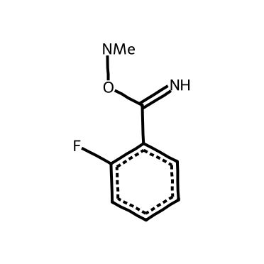 CNOC(=N)c1ccccc1F